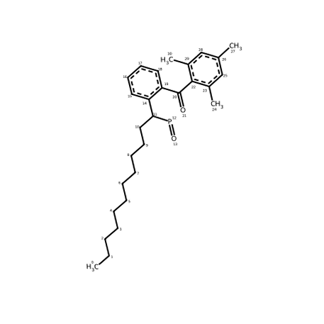 CCCCCCCCCCCC(P=O)c1ccccc1C(=O)c1c(C)cc(C)cc1C